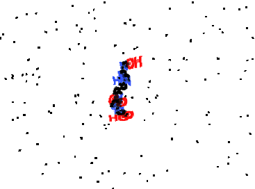 Cc1c(Nc2nccc3cc(CN4CC[C@@H](O)C4)cnc23)cccc1-c1cccc(-c2nc3c(=O)n(CCN4CCC(C(=O)O)CC4)ccc3o2)c1C